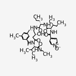 CCC[C@H](NC(=O)[C@@H](NC(=O)c1cc[n+]([O-])cc1)[C@@H](C)CC)C(=O)N[C@@H](Cc1cc(C)cc(F)c1)[C@H](O)CC(=O)N[C@H](C(=O)NCC)C(C)C